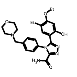 CCOc1cc(O)c(-c2nnc(C(N)=O)n2-c2ccc(CN3CCOCC3)cc2)cc1CC